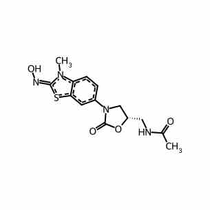 CC(=O)NC[C@H]1CN(c2ccc3c(c2)sc(=NO)n3C)C(=O)O1